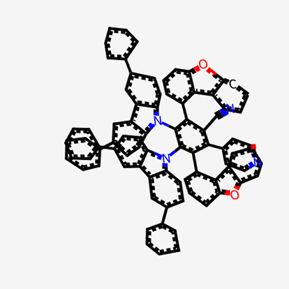 N#Cc1c(-c2ccncc2)c(-c2cccc3oc4ccccc4c23)c(-n2c3ccc(-c4ccccc4)cc3c3cc(-c4ccccc4)ccc32)c(-n2c3ccc(-c4ccccc4)cc3c3cc(-c4ccccc4)ccc32)c1-c1cccc2oc3ccccc3c12